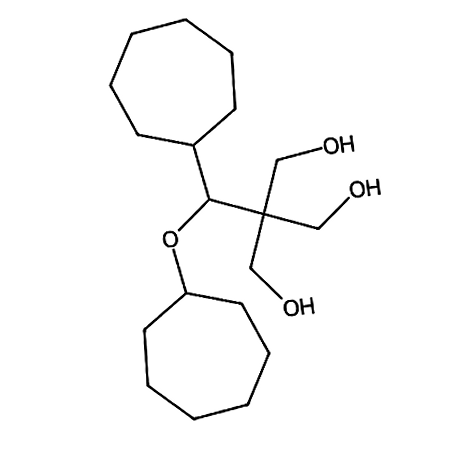 OCC(CO)(CO)C(OC1CCCCCC1)C1CCCCCC1